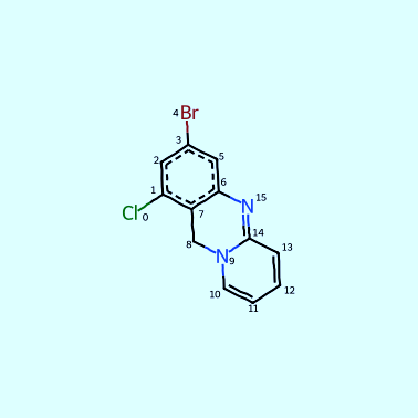 Clc1cc(Br)cc2c1CN1C=CC=CC1=N2